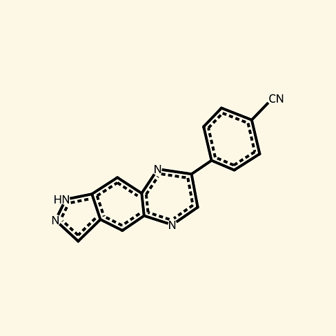 N#Cc1ccc(-c2cnc3cc4cn[nH]c4cc3n2)cc1